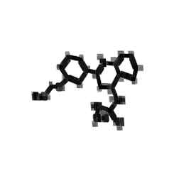 CC(C)COCOc1cccc(-c2cc(NC(=N)NC=O)c3ccccc3n2)c1